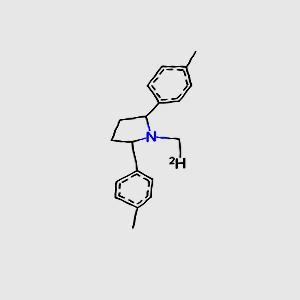 [2H]CN1C(c2ccc(C)cc2)CCC1c1ccc(C)cc1